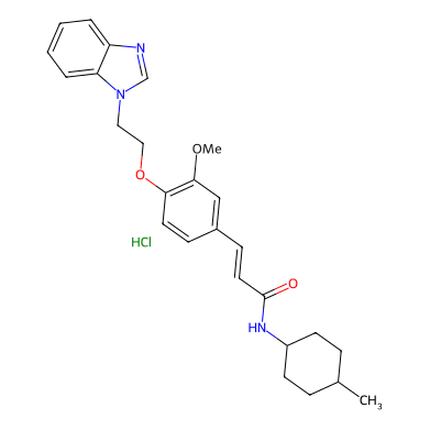 COc1cc(/C=C/C(=O)NC2CCC(C)CC2)ccc1OCCn1cnc2ccccc21.Cl